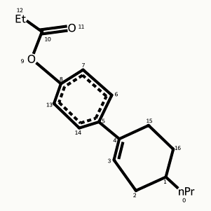 CCCC1CC=C(c2ccc(OC(=O)CC)cc2)CC1